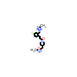 Cc1nnn(Cc2cc(F)ccc2C=CC(=O)N2CCC(Cc3nnc(C)o3)CC2)n1